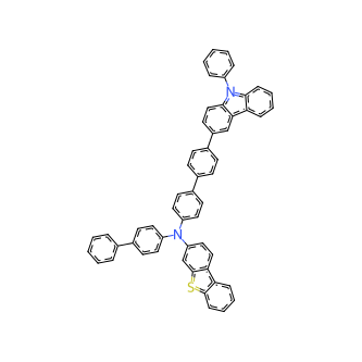 c1ccc(-c2ccc(N(c3ccc(-c4ccc(-c5ccc6c(c5)c5ccccc5n6-c5ccccc5)cc4)cc3)c3ccc4c(c3)sc3ccccc34)cc2)cc1